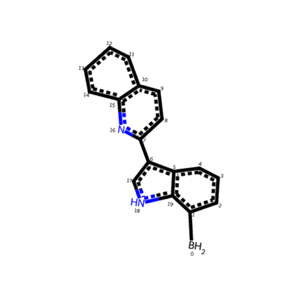 Bc1cccc2c(-c3ccc4ccccc4n3)c[nH]c12